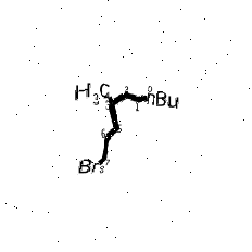 CCCCCCC(C)=CCCBr